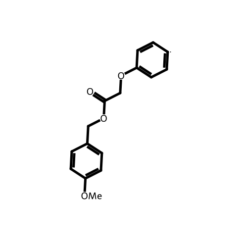 COc1ccc(COC(=O)COc2cc[c]cc2)cc1